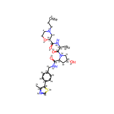 COCCN1CCO[C@H](C(=O)N[C@H](C(=O)N2C[C@H](O)CC2C(=O)NCc2ccc(-c3scnc3C)cc2)C(C)(C)C)C1